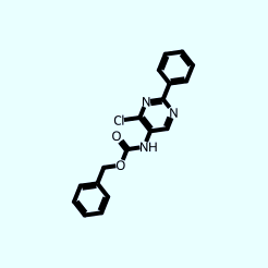 O=C(Nc1cnc(-c2ccccc2)nc1Cl)OCc1ccccc1